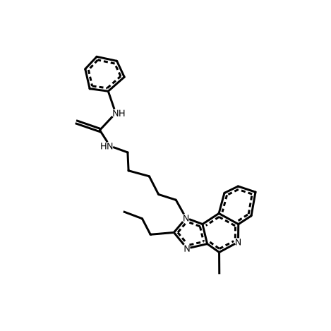 C=C(NCCCCCn1c(CCC)nc2c(C)nc3ccccc3c21)Nc1ccccc1